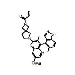 C=CC(=O)N1CC2(CCN(c3nc4cc(OC)cnc4c(-c4c(C)ccc5[nH]ncc45)c3C)C2)C1